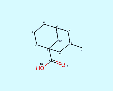 CC1CC2CCCC(C(=O)O)(C1)C2